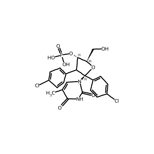 Cc1cn([C@]2(c3ccc(Cl)cc3)O[C@H](CO)[C@@H](OP(=O)(O)O)C2c2ccc(Cl)cc2)c(=O)[nH]c1=O